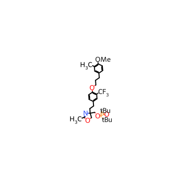 COc1ccc(CCCOc2ccc(CCC3(COP(=O)(C(C)(C)C)C(C)(C)C)COC(C)=N3)cc2C(F)(F)F)cc1C